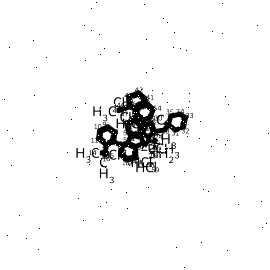 CC1(CC2=Cc3c(-c4ccccc4C(C)(C)C)cccc3[CH]2[Zr]([CH3])([CH3])(=[SiH2])[CH]2C(CC3(C)CC=CCC3)=Cc3c(-c4ccccc4C(C)(C)C)cccc32)CC=CCC1.Cl.Cl